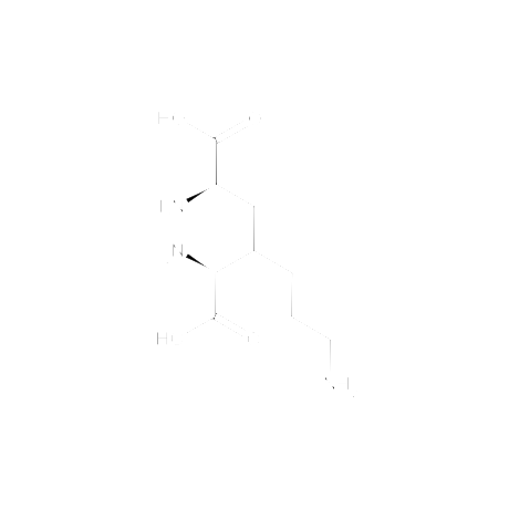 NCCCC(C[C@@H](N)C(=O)O)[C@H](N)C(=O)O